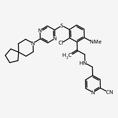 C=C(CNCc1ccnc(C#N)c1)c1c(NC)ccc(Sc2cnc(N3CCC4(CCCC4)CC3)cn2)c1Cl